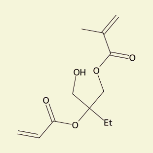 C=CC(=O)OC(CC)(CO)COC(=O)C(=C)C